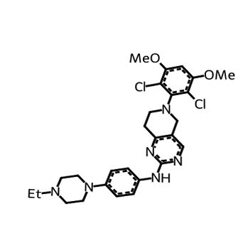 CCN1CCN(c2ccc(Nc3ncc4c(n3)CCN(c3c(Cl)c(OC)cc(OC)c3Cl)C4)cc2)CC1